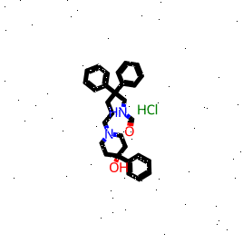 Cl.O=CNCC(CCCN1CCC(O)(c2ccccc2)CC1)(c1ccccc1)c1ccccc1